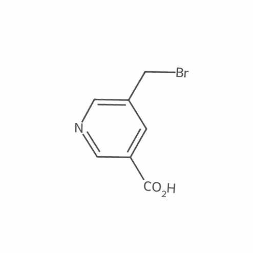 O=C(O)c1cncc(CBr)c1